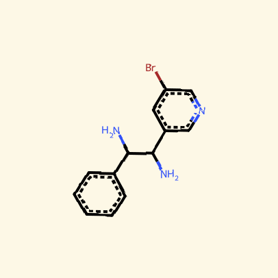 NC(c1ccccc1)C(N)c1cncc(Br)c1